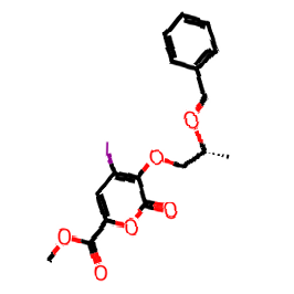 COC(=O)c1cc(I)c(OC[C@@H](C)OCc2ccccc2)c(=O)o1